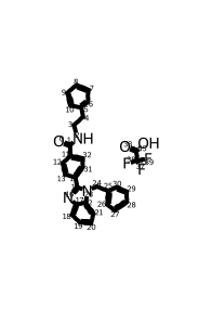 O=C(NCCc1ccccc1)c1ccc(-c2nc3ccccc3n2Cc2ccccc2)cc1.O=C(O)C(F)(F)F